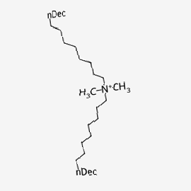 CCCCCCCCCCCCCCCCCC[N+](C)(C)CCCCCCCCCCCCCCCCCC